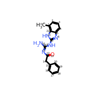 Cc1cccc2nc(N/C(N)=N\C(=O)Cc3ccccc3)[nH]c12